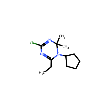 CCC1=NC(Cl)=NC(C)(C)N1C1CCCC1